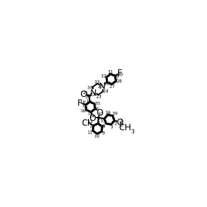 COc1ccc(C2(c3ccccc3Cl)Oc3cc(F)c(C(=O)N4CCN(c5ccc(F)cc5)CC4)cc3O2)cc1